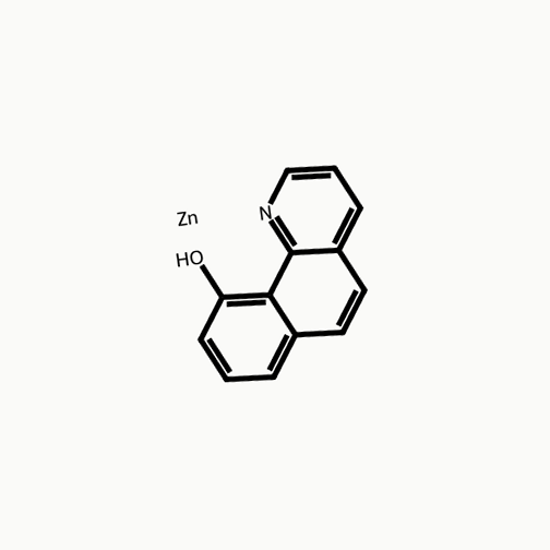 Oc1cccc2ccc3cccnc3c12.[Zn]